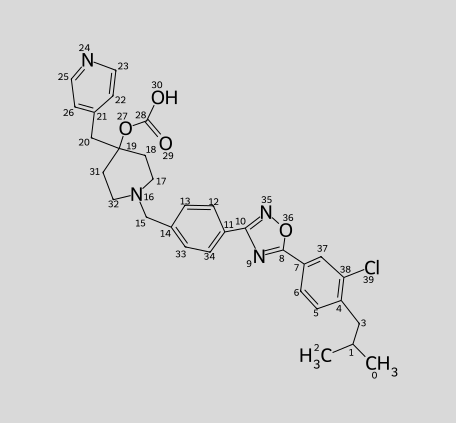 CC(C)Cc1ccc(-c2nc(-c3ccc(CN4CCC(Cc5ccncc5)(OC(=O)O)CC4)cc3)no2)cc1Cl